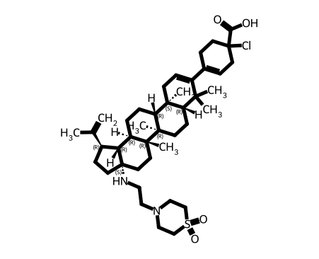 C=C(C)[C@@H]1CC[C@]2(NCCN3CCS(=O)(=O)CC3)CC[C@]3(C)[C@H](CC[C@@H]4[C@@]5(C)CC=C(C6=CCC(Cl)(C(=O)O)CC6)C(C)(C)[C@@H]5CC[C@]43C)[C@@H]12